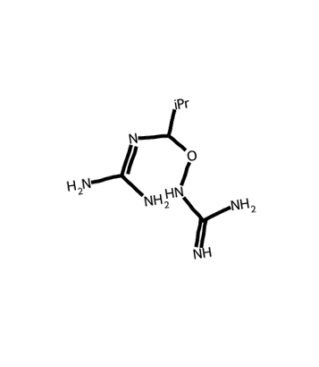 CC(C)C(N=C(N)N)ONC(=N)N